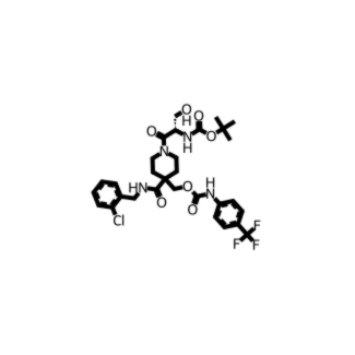 CC(C)(C)OC(=O)N[C@@H](CO)C(=O)N1CCC(COC(=O)Nc2ccc(C(F)(F)F)cc2)(C(=O)NCc2ccccc2Cl)CC1